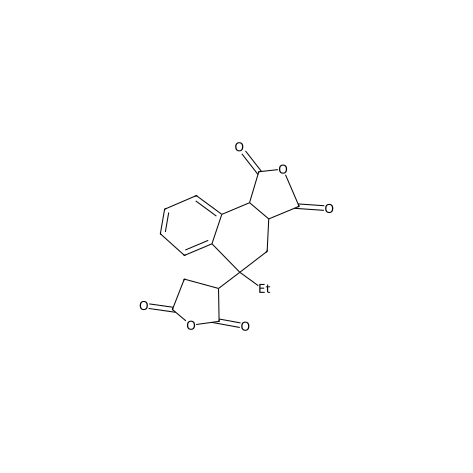 CCC1(C2CC(=O)OC2=O)CC2C(=O)OC(=O)C2c2ccccc21